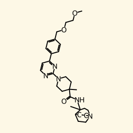 COCCOCc1ccc(-c2ccnc(N3CCC(C)(C(=O)NC4(C)CCN5CCC4CC5)CC3)n2)cc1